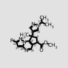 COC(=O)C1CC(C)(c2cnn(C(C)C)c2)c2c1cnc1cc(F)nn21